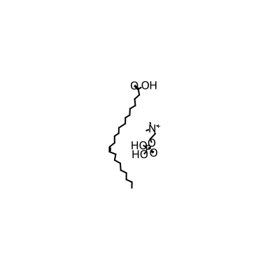 CCCCCCCC/C=C\CCCCCCCCCCCC(=O)O.C[N+](C)(C)CCOP(=O)(O)O